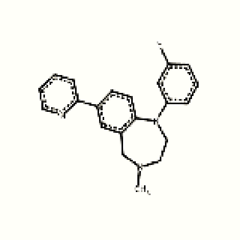 CN1CCN(c2cccc(F)c2)c2ccc(-c3ccccn3)cc2C1